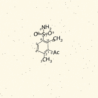 CC(=O)c1c(C)ccc(S(N)(=O)=O)c1C